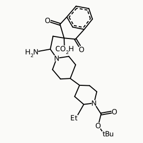 CCC1CC(C2CCN(C(N)CC3(C(=O)O)C(=O)c4cccc(c4)C3=O)CC2)CCN1C(=O)OC(C)(C)C